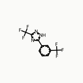 FC(F)(F)c1cccc(-c2nc(C(F)(F)F)n[nH]2)c1